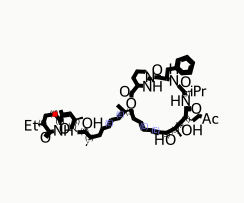 CC[C@H]1C[C@H](C)[C@@]2(NC1=O)O[C@@H](C[C@H](O)[C@@H](C)CC/C=C/C=C(\C)[C@@H]1C/C=C/C=C/[C@H](O)[C@H](C)[C@@H](O)[C@@H](CCC(C)=O)C(=O)N[C@@H](C(C)C)C(=O)NC(Cc3ccccc3)C(=O)N3CCCC(N3)C(=O)O1)[C@H](C)C=C2C